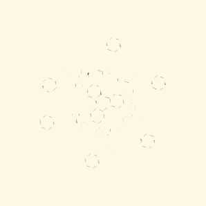 Cc1ccc(C2CC2C(=O)Oc2cc3c4cc(OC(=O)C5CC5c5ccc(C)cc5)c(OC(=O)C5CC5c5ccc(C)cc5)cc4c4cc(OC(=O)C5CC5c5ccc(C)cc5)c(OC(=O)C5CC5c5ccc(C)cc5)cc4c3cc2OC(=O)C2CC2c2ccc(C)cc2)cc1